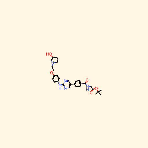 CC(C)(C)OC(=O)CNC(=O)c1ccc(-c2cnc(Nc3ccc(OCCN4CCCC(O)C4)cc3)nc2)cc1